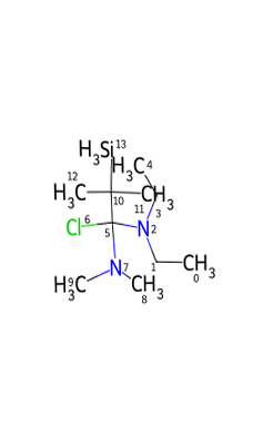 CCN(CC)C(Cl)(N(C)C)C(C)(C)[SiH3]